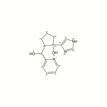 OC(c1ccccn1)C1CCCC1(O)c1c[nH]cn1